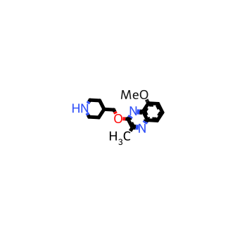 COc1cccc2nc(C)c(OCC3CCNCC3)nc12